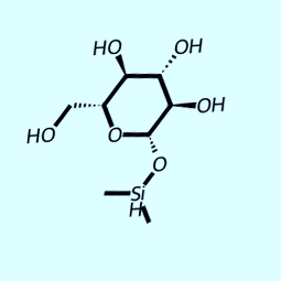 C[SiH](C)O[C@@H]1O[C@H](CO)[C@@H](O)[C@H](O)[C@H]1O